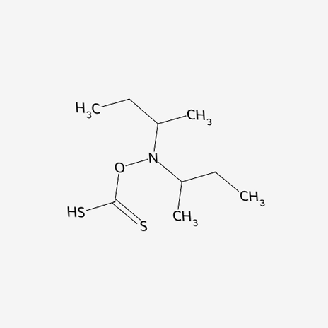 CCC(C)N(OC(=S)S)C(C)CC